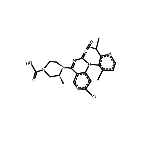 Cc1ccnc(C(C)C)c1N1C(=C=O)N=C(N2CCN(C(=O)O)C[C@@H]2C)c2cnc(Cl)cc21